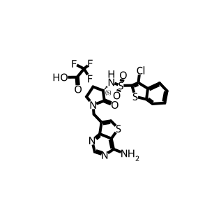 Nc1ncnc2c(CN3CC[C@H](NS(=O)(=O)c4sc5ccccc5c4Cl)C3=O)csc12.O=C(O)C(F)(F)F